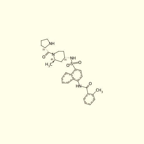 Cc1ccccc1C(=O)Nc1ccc(S(=O)(=O)N[C@H]2CCN(C(=O)[C@@H]3CCCN3)[C@H](C)C2)c2ccccc12